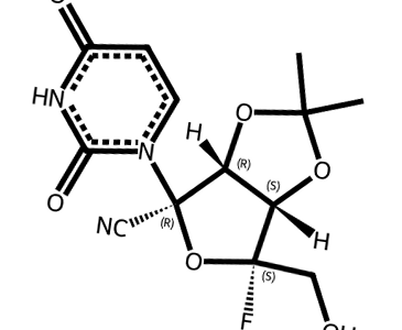 CC1(C)O[C@@H]2[C@H](O1)[C@@](F)(CO)O[C@@]2(C#N)n1ccc(=O)[nH]c1=O